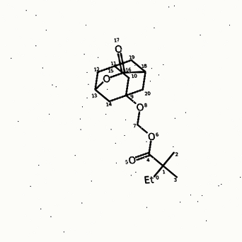 CCC(C)(C)C(=O)OCOC12CC3CC(C1)OC(=O)C(C3)C2